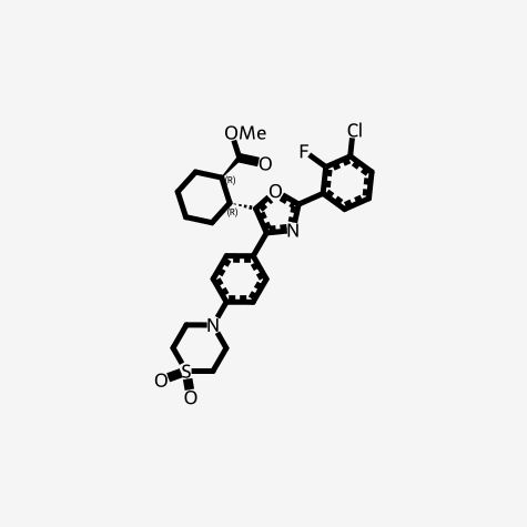 COC(=O)[C@@H]1CCCC[C@H]1c1oc(-c2cccc(Cl)c2F)nc1-c1ccc(N2CCS(=O)(=O)CC2)cc1